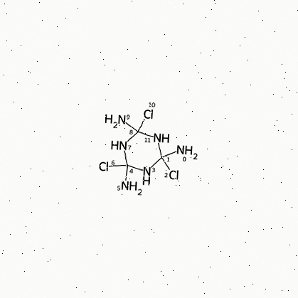 NC1(Cl)NC(N)(Cl)NC(N)(Cl)N1